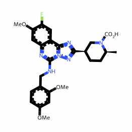 COc1ccc(CNc2nc3cc(OC)c(F)cc3c3nc([C@@H]4CC[C@H](C)N(C(=O)O)C4)nn23)c(OC)c1